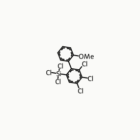 COc1ccccc1-c1c([Si](Cl)(Cl)Cl)cc(Cl)c(Cl)c1Cl